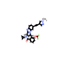 Cn1cc(C#Cc2ccc3nc4n(c3c2)[C@@H]2C[C@H]4N(C3CC3)C(=O)c3cccc(OC(F)F)c32)cn1